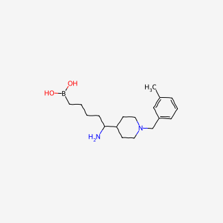 Cc1cccc(CN2CCC(C(N)CCCCB(O)O)CC2)c1